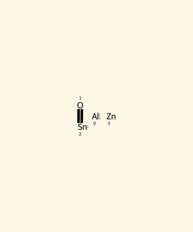 [Al].[O]=[Sn].[Zn]